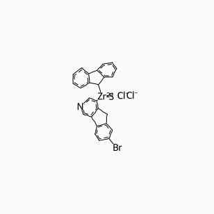 [Cl-].[Cl-].[S]=[Zr+2]([c]1cncc2c1Cc1cc(Br)ccc1-2)[CH]1c2ccccc2-c2ccccc21